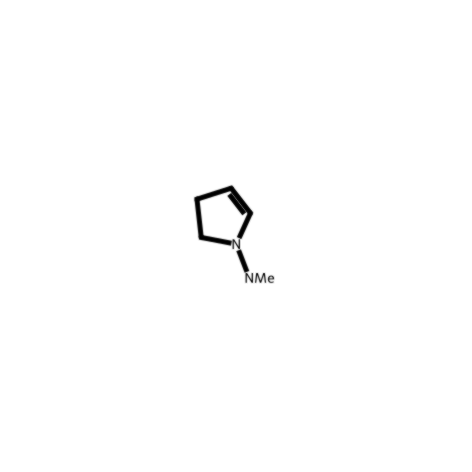 CNN1C=CCC1